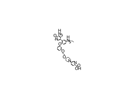 CCSNc1ccc(Oc2cccc(OCCOC3CCN(c4ccc(C(=O)O)nc4)CC3)c2)c(-c2cn(C)c(=O)c3[nH]ccc23)c1